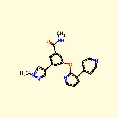 CNC(=O)c1cc(Oc2ncccc2-c2ccncc2)cc(-c2cnn(C)c2)c1